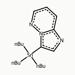 CCC[CH2][Sn]([CH2]CCC)([CH2]CCC)[c]1cnc2cccnn12